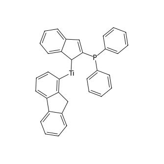 C1=C(P(c2ccccc2)c2ccccc2)[CH]([Ti][c]2cccc3c2Cc2ccccc2-3)c2ccccc21